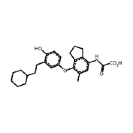 Cc1cc(NC(=O)C(=O)O)c2c(c1Oc1ccc(O)c(CCC3CCCCC3)c1)CCC2